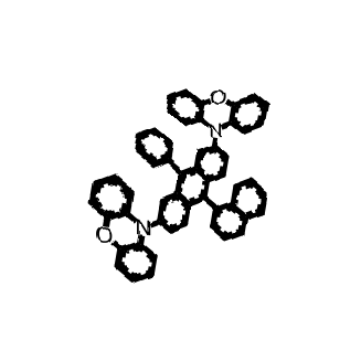 c1ccc(-c2c3cc(N4c5ccccc5Oc5ccccc54)ccc3c(-c3cccc4ccccc34)c3ccc(N4c5ccccc5Oc5ccccc54)cc23)cc1